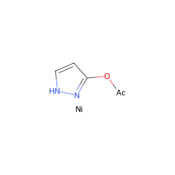 CC(=O)Oc1cc[nH]n1.[Ni]